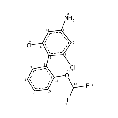 Nc1cc(Cl)c(-c2ccccc2OC(F)F)c(Cl)c1